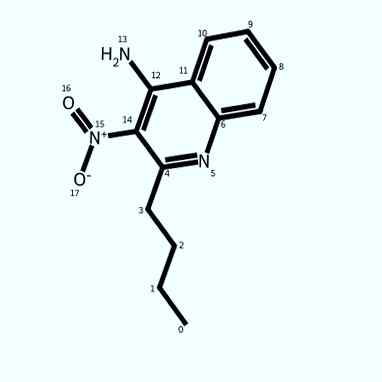 CCCCc1nc2ccccc2c(N)c1[N+](=O)[O-]